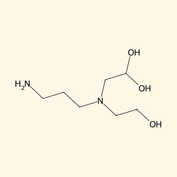 NCCCN(CCO)CC(O)O